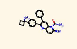 N=c1ccc2nc(-c3ccc(C4(N)CCC4)cc3)c(-c3ccccc3)cc2n1C(N)=O